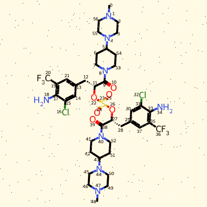 CN1CCN(C2CCN(C(=O)[C@@H](Cc3cc(Cl)c(N)c(C(F)(F)F)c3)OS(=O)(=O)O[C@H](Cc3cc(Cl)c(N)c(C(F)(F)F)c3)C(=O)N3CCC(N4CCN(C)CC4)CC3)CC2)CC1